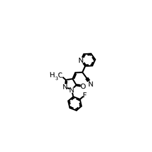 CC1=NN(c2ccccc2F)C(=O)C1=CC(C#N)c1ccccn1